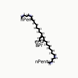 CCCCC/C=C\C/C=C\CCCCCCCCC(=CC(=O)OCCC)CCCCCCCC/C=C\C/C=C\CCCCC